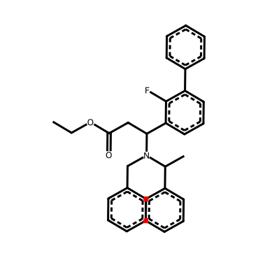 CCOC(=O)CC(c1cccc(-c2ccccc2)c1F)N(Cc1ccccc1)C(C)c1ccccc1